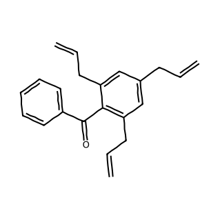 C=CCc1cc(CC=C)c(C(=O)c2ccccc2)c(CC=C)c1